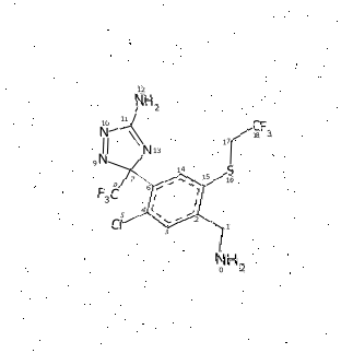 NCc1cc(Cl)c(C2(C(F)(F)F)N=NC(N)=N2)cc1SCC(F)(F)F